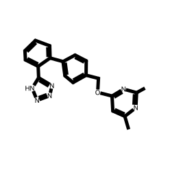 Cc1cc(OCc2ccc(-c3ccccc3-c3nnn[nH]3)cc2)nc(C)n1